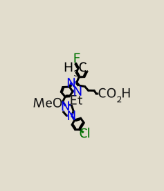 C\C=C/C(=C\C=C\F)c1nc2ccc(C(OC)N3CCN(c4ccc(Cl)cc4)CC3CC)cc2nc1CCCCC(=O)O